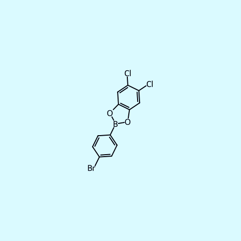 Clc1cc2c(cc1Cl)OB(c1ccc(Br)cc1)O2